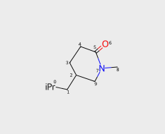 CC(C)CC1CCC(=O)N(C)C1